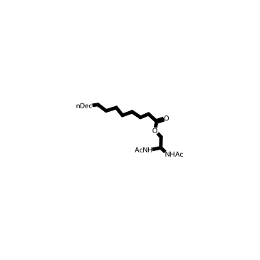 CCCCCCCCCCCCCCCCCC(=O)OCC(NC(C)=O)NC(C)=O